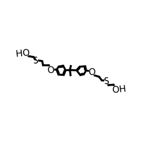 CC(C)(c1ccc(OCCCSCCO)cc1)c1ccc(OCCCSCCO)cc1